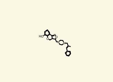 CC(=Cc1ccccc1)CN1CCN(CC2ON=C3c4cccc(O)c4OCC32)CC1